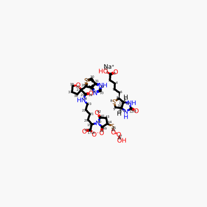 O=C(O)CCCC[C@@H]1SC[C@@H]2NC(=O)N[C@@H]21.O=C([O-])C(CCCCNC(=O)C1(c2scc3[nH]cnc23)CCCO1)N1C(=O)CC(SOOO)C1=O.[Na+]